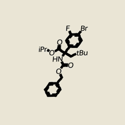 CC(C)OC(=O)C(CC(C)(C)C)(NC(=O)OCc1ccccc1)c1ccc(Br)c(F)c1